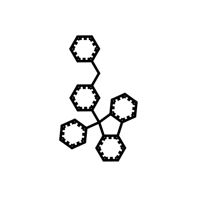 c1ccc(Cc2cccc(C3(c4ccccc4)c4ccccc4-c4ccccc43)c2)cc1